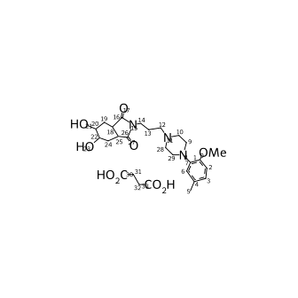 COc1ccc(C)cc1N1CCN(CCCN2C(=O)C3CC(O)C(O)CC3C2=O)CC1.O=C(O)CCC(=O)O